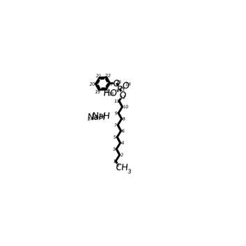 CCCCCCCCCCCCOP(=O)(O)Oc1ccccc1.[NaH].[NaH]